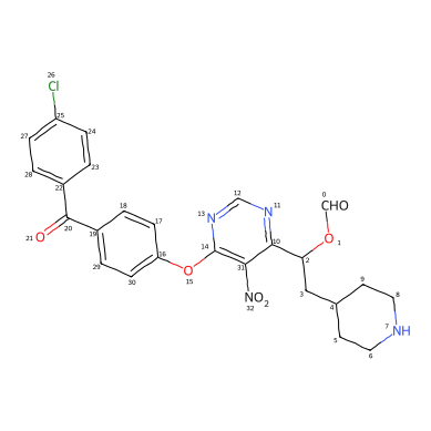 O=COC(CC1CCNCC1)c1ncnc(Oc2ccc(C(=O)c3ccc(Cl)cc3)cc2)c1[N+](=O)[O-]